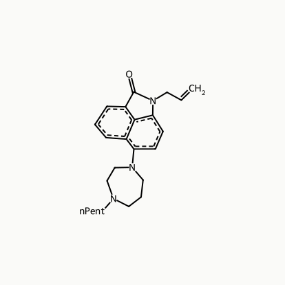 C=CCN1C(=O)c2cccc3c(N4CCCN(CCCCC)CC4)ccc1c23